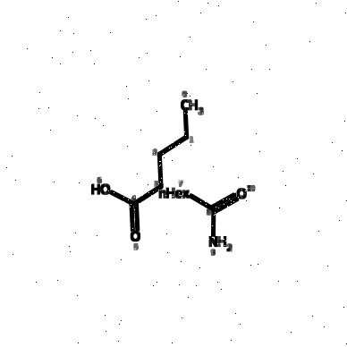 CCCCC(=O)O.CCCCCCC(N)=O